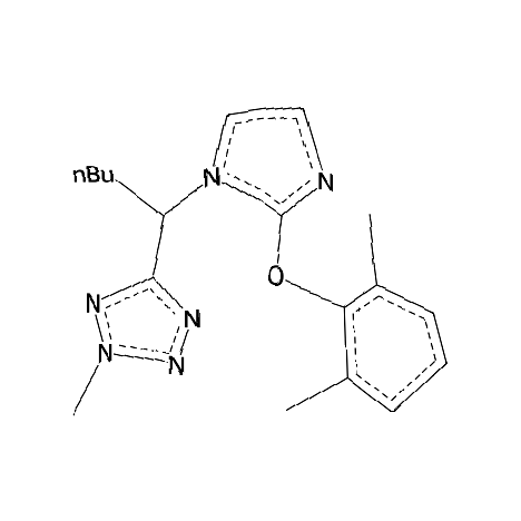 CCCCC(c1nnn(C)n1)n1ccnc1Oc1c(C)cccc1C